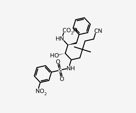 CC(C)(CCC#N)CC(NS(=O)(=O)c1cccc([N+](=O)[O-])c1)[C@H](O)[C@H](Cc1ccccc1)NC(=O)O